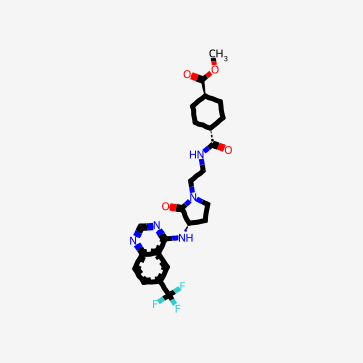 COC(=O)[C@H]1CC[C@H](C(=O)NCCN2CC[C@H](Nc3ncnc4ccc(C(F)(F)F)cc34)C2=O)CC1